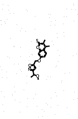 COC(C)c1cc(COc2ccc3c(C)c(C)c(=S)oc3c2)on1